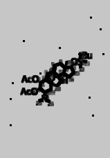 CC(=O)O[C@@H]1C2=CC3=CC[C@]4(C)[C@@H](O[Si](C)(C)C(C)(C)C)CC[C@H]4C34CC[C@]2(CC(N(C)C)[C@H]1OC(C)=O)O4